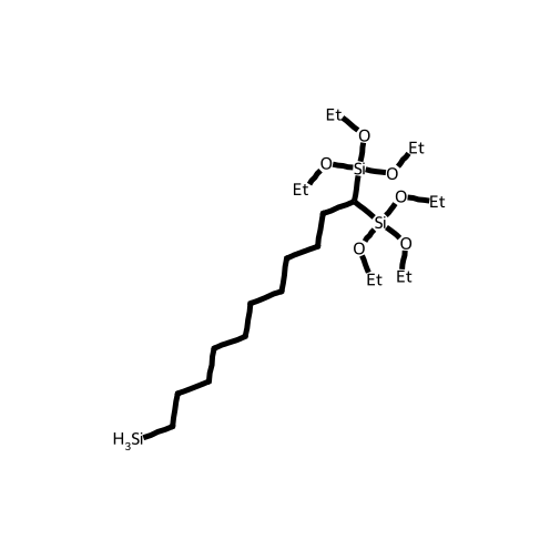 CCO[Si](OCC)(OCC)C(CCCCCCCCCC[SiH3])[Si](OCC)(OCC)OCC